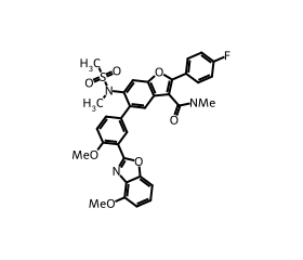 CNC(=O)c1c(-c2ccc(F)cc2)oc2cc(N(C)S(C)(=O)=O)c(-c3ccc(OC)c(-c4nc5c(OC)cccc5o4)c3)cc12